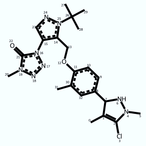 CC1=C(Cl)N(C)NC1c1ccc(OCc2c(-n3nnn(C)c3=O)cnn2C(C)(C)C)c(C)c1